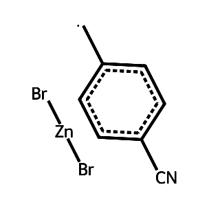 [Br][Zn][Br].[CH2]c1ccc(C#N)cc1